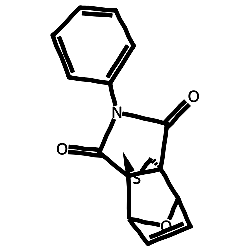 O=C1N(c2ccccc2)C(=O)[C@]23CSCC12C1C=CC3O1